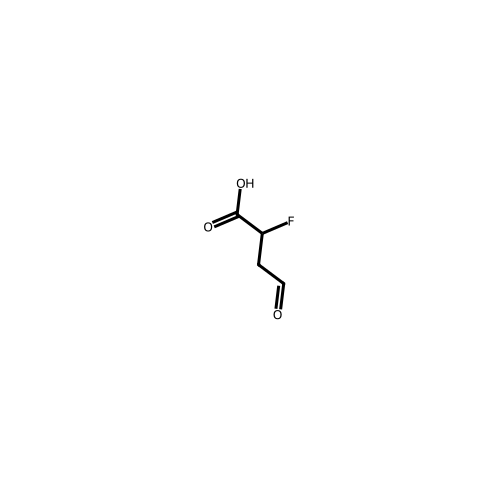 O=CCC(F)C(=O)O